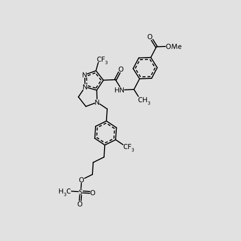 COC(=O)c1ccc(C(C)NC(=O)c2c(C(F)(F)F)nn3c2N(Cc2ccc(CCCOS(C)(=O)=O)c(C(F)(F)F)c2)CC3)cc1